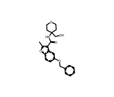 Cc1oc2ccc(OCc3ccccc3)cc2c1C(=O)NC1(CO)CCOCC1